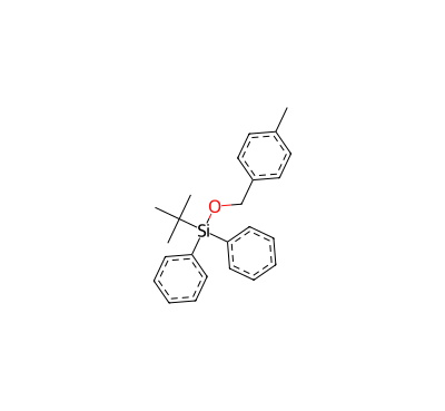 Cc1ccc(CO[Si](c2ccccc2)(c2ccccc2)C(C)(C)C)cc1